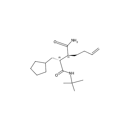 C=CCC[C@H](C(N)=O)[C@@H](CC1CCCC1)C(=O)NC(C)(C)C